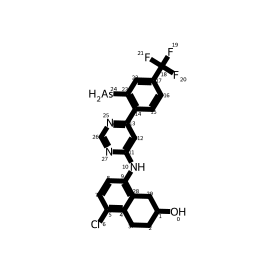 OC1CCc2c(Cl)ccc(Nc3cc(-c4ccc(C(F)(F)F)cc4[AsH2])ncn3)c2C1